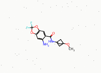 COC12CC(NC(=O)c3cc4c(cc3N)OC(F)(F)O4)(C1)C2